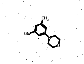 Cc1cc(N2CCOCC2)cc(C(C)(C)C)c1